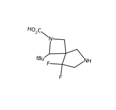 CC(C)(C)C1N(C(=O)O)CC12CNCC2(F)F